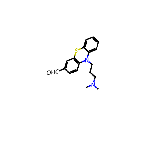 CN(C)CCCN1c2ccccc2Sc2cc(C=O)ccc21